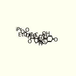 CCOC(=O)O[C@]1(C(=O)COC(=O)OC(C)C)CC[C@H]2[C@@H]3CCC4=CC(=O)C=C[C@]4(C)[C@H]3C(O)C[C@@]21C